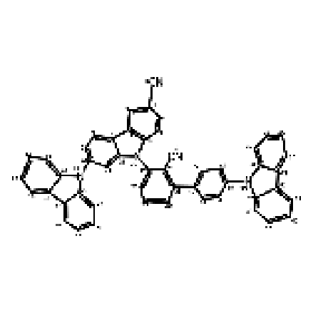 N#Cc1ccc2c(c1)c1ccc(-n3c4ccccc4c4ccccc43)cc1n2-c1cccc(-c2ccc(-n3c4ccccc4c4ccccc43)cc2)c1C#N